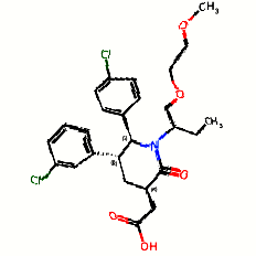 CCC(COCCOC)N1C(=O)[C@@H](CC(=O)O)C[C@H](c2cccc(Cl)c2)[C@H]1c1ccc(Cl)cc1